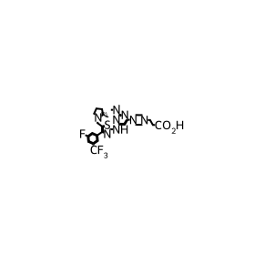 C[C@@H]1CCCN1Cc1sc(Nc2cc(N3CCN(CCC(=O)O)CC3)nc(N(C)C)n2)nc1-c1cc(F)cc(C(F)(F)F)c1